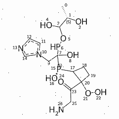 C[C@H](O)C(O)OPC(O)(Cn1ccnc1)[P@](O)C1CCC1(OO)C(=O)CN